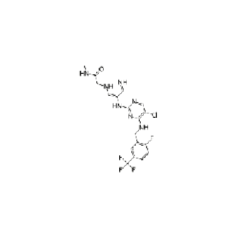 CNC(=O)CN/C=C(\C=N)Nc1ncc(Cl)c(NCc2cc(C(F)(F)F)ccc2F)n1